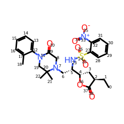 CC[C@@H]1C[C@@H]([C@H](CN2CC(=O)N(c3ccccc3C)CC2(C)C)NS(=O)(=O)c2ccccc2[N+](=O)[O-])OC1=O